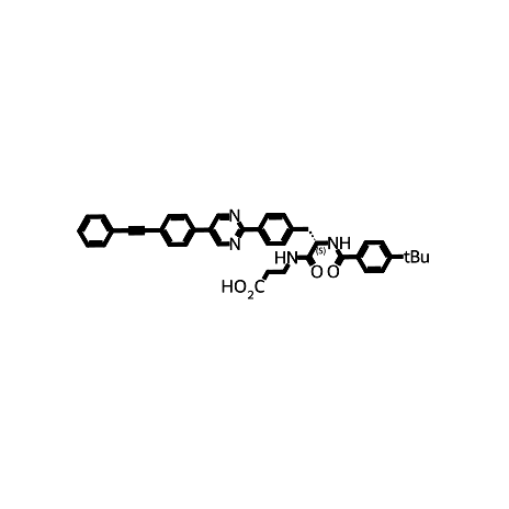 CC(C)(C)c1ccc(C(=O)N[C@@H](Cc2ccc(-c3ncc(-c4ccc(C#Cc5ccccc5)cc4)cn3)cc2)C(=O)NCCC(=O)O)cc1